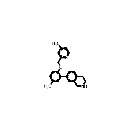 Cc1ccnc(COc2ccc(C)cc2-c2ccc3c(c2)CNCC3)c1